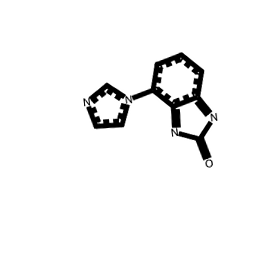 O=C1N=c2cccc(-n3ccnc3)c2=N1